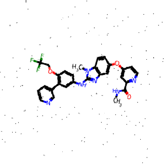 CNC(=O)c1cc(Oc2ccc3c(c2)nc(Nc2ccc(OCC(F)(F)F)c(-c4cccnc4)c2)n3C)ccn1